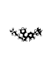 CC1(C)OB(c2ccc(-c3cnn(COCCS(C)(C)C)c3C3=CCOCC3)c(F)c2F)OC1(C)C